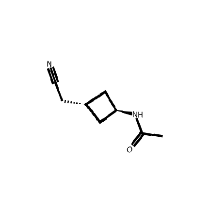 CC(=O)N[C@H]1C[C@H](CC#N)C1